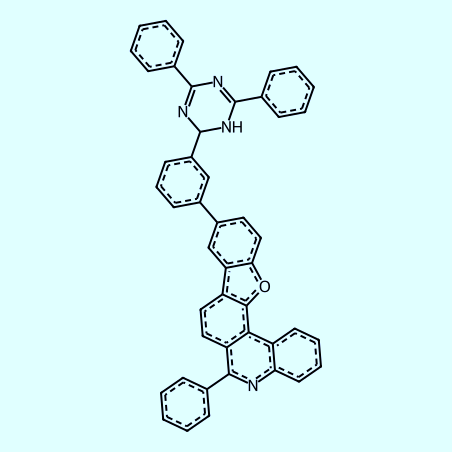 c1ccc(C2=NC(c3cccc(-c4ccc5oc6c(ccc7c(-c8ccccc8)nc8ccccc8c76)c5c4)c3)NC(c3ccccc3)=N2)cc1